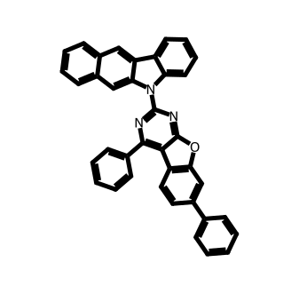 c1ccc(-c2ccc3c(c2)oc2nc(-n4c5ccccc5c5cc6ccccc6cc54)nc(-c4ccccc4)c23)cc1